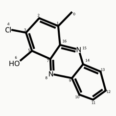 Cc1cc(Cl)c(O)c2nc3ccccc3nc12